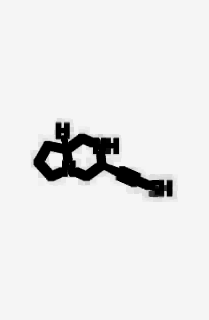 SC#C[C@H]1CN2CCC[C@H]2CN1